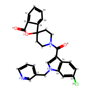 O=C1OC2(CCN(C(=O)c3cn(Cc4cccnc4)c4cc(Cl)ccc34)CC2)c2ccccc21